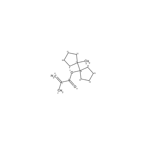 C=C(C)C(=O)OC1(C2(C)CCCC2)CCCC1